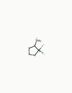 CNC1CCCC1(F)F